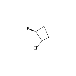 F[C@H]1CCC1Cl